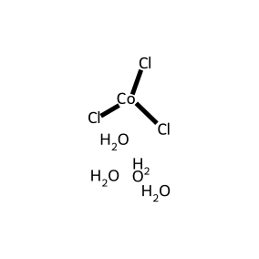 O.O.O.O.[Cl][Co]([Cl])[Cl]